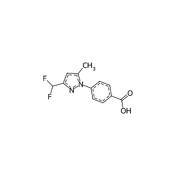 Cc1cc(C(F)F)nn1-c1ccc(C(=O)O)cc1